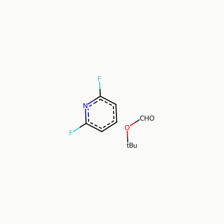 CC(C)(C)OC=O.Fc1cccc(F)n1